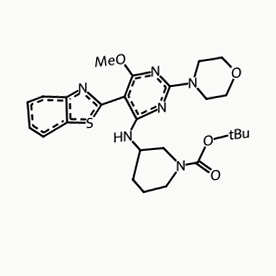 COc1nc(N2CCOCC2)nc(NC2CCCN(C(=O)OC(C)(C)C)C2)c1-c1nc2ccccc2s1